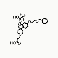 O=C(O)C(F)(F)F.O=C(O)CCN1CCC2(CC1)COc1cc(OCCOCc3ccccc3)ccc12